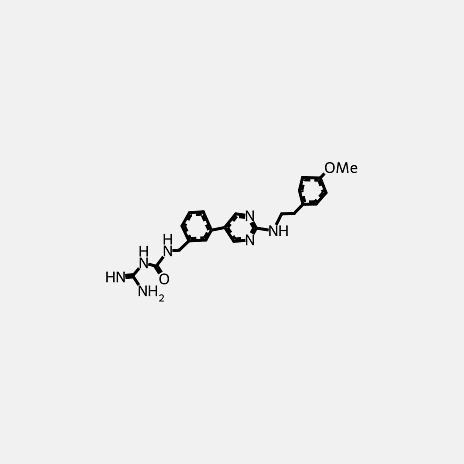 COc1ccc(CCNc2ncc(-c3cccc(CNC(=O)NC(=N)N)c3)cn2)cc1